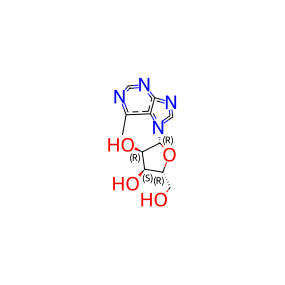 Cc1ncnc2ncn([C@@H]3O[C@H](CO)[C@@H](O)[C@H]3O)c12